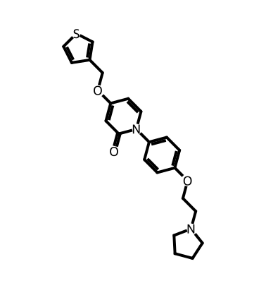 O=c1cc(OCc2ccsc2)ccn1-c1ccc(OCCN2CCCC2)cc1